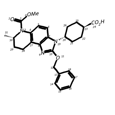 COC(=O)N1c2ccc3c(nc(OCc4ccccc4)n3[C@H]3CC[C@H](C(=O)O)CC3)c2CC[C@@H]1C